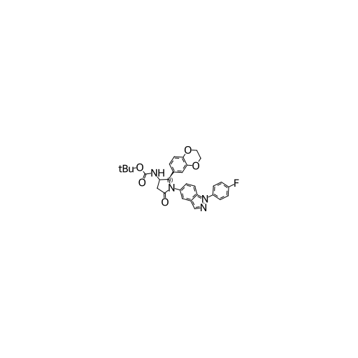 CC(C)(C)OC(=O)NC1CC(=O)N(c2ccc3c(cnn3-c3ccc(F)cc3)c2)[C@@H]1c1ccc2c(c1)OCCO2